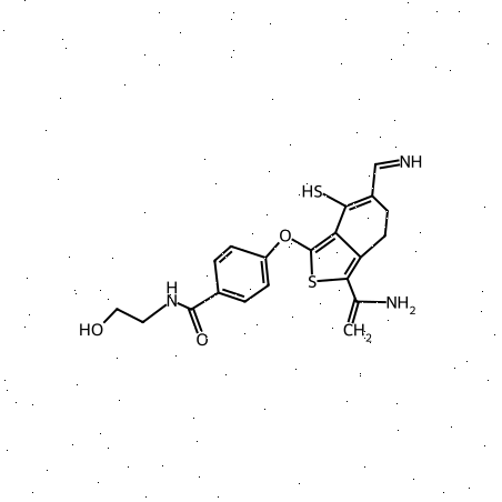 C=C(N)c1sc(Oc2ccc(C(=O)NCCO)cc2)c2c1CCC(C=N)=C2S